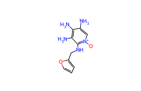 Nc1c[n+]([O-])c(NCc2ccco2)c(N)c1N